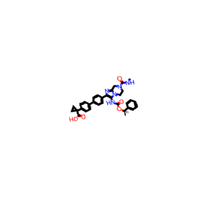 CNC(=O)N1CCn2c(nc(-c3ccc(-c4ccc(C5(C(=O)O)CC5)cc4)cc3)c2NC(=O)O[C@H](C)c2ccccc2)C1